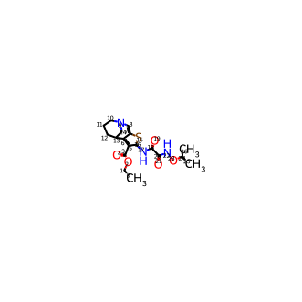 CCOC(=O)C1=C2C(=CN3CCCC2C3)SC1NC(=O)C(=O)NOC(C)C